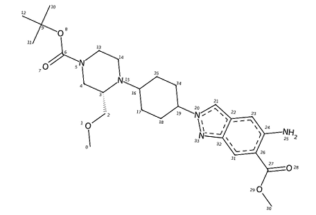 COC[C@@H]1CN(C(=O)OC(C)(C)C)CCN1C1CCC(n2cc3cc(N)c(C(=O)OC)cc3n2)CC1